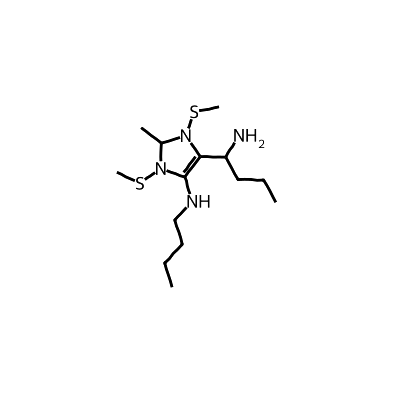 CCCCNC1=C(C(N)CCC)N(SC)C(C)N1SC